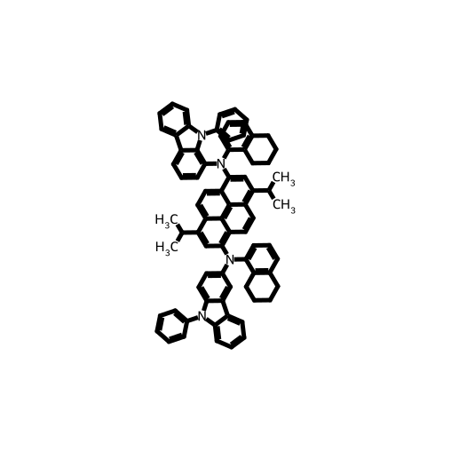 CC(C)c1cc(N(c2ccc3c(c2)c2ccccc2n3-c2ccccc2)c2cccc3c2CCCC3)c2ccc3c(C(C)C)cc(N(c4cccc5c4CCCC5)c4cccc5c6ccccc6n(-c6ccccc6)c45)c4ccc1c2c34